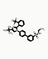 CCNS(=O)(=O)c1cccc(-c2ccc(-n3cc(C(C)(C)O)nc3-c3ccccc3C(F)(F)F)cc2)c1